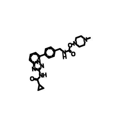 CN1CCN(OC(=O)NCc2ccc(-c3cccc4nc(NC(=O)C5CC5)nn34)cc2)CC1